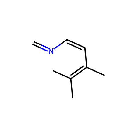 C=N/C=C\C(C)=C(C)C